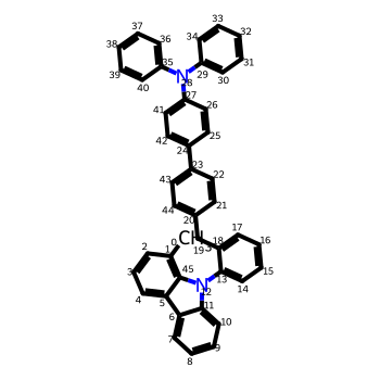 Cc1cccc2c3ccccc3n(-c3ccccc3Cc3ccc(-c4ccc(N(c5ccccc5)c5ccccc5)cc4)cc3)c12